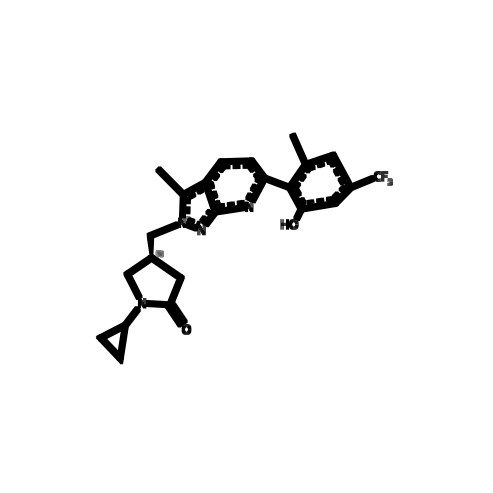 Cc1cc(C(F)(F)F)cc(O)c1-c1ccc2c(C)n(C[C@H]3CC(=O)N(C4CC4)C3)nc2n1